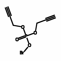 C#CCOP(=O)(OBr)OCC#C